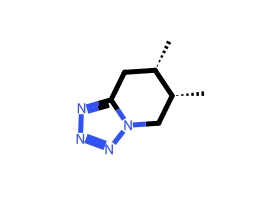 C[C@@H]1Cn2nnnc2C[C@@H]1C